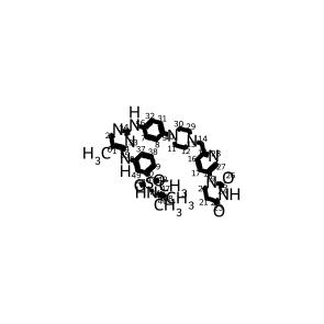 Cc1cnc(Nc2ccc(N3CCN(Cc4ccc(N5CCC(=O)NC5=O)cn4)CC3)cc2)nc1Nc1cccc(S(=O)(=O)NC(C)(C)C)c1